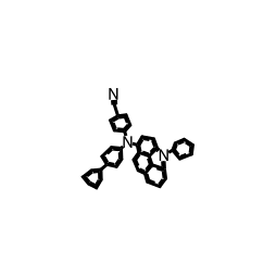 N#Cc1ccc(N(c2ccc(-c3ccccc3)cc2)c2ccc3c4c2ccc2cccc(c24)n3-c2ccccc2)cc1